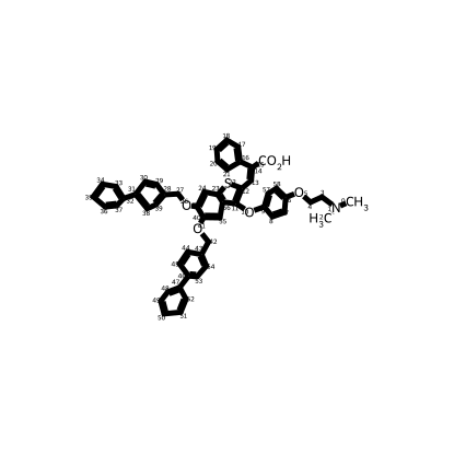 CN(C)CCOc1ccc(Oc2c(C=C(C(=O)O)c3ccccc3)sc3cc(OCc4ccc(-c5ccccc5)cc4)c(OCc4ccc(-c5ccccc5)cc4)cc23)cc1